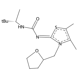 Cc1s/c(=N\C(=O)N[C@@H](C)C(C)(C)C)n(CC2CCCO2)c1C